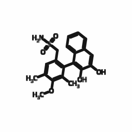 COc1c(C)cc(CS(N)(=O)=O)c(-c2c(O)c(O)cc3ccccc23)c1C